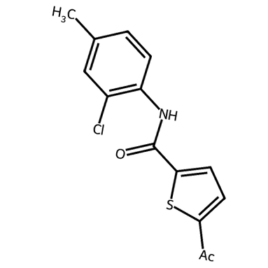 CC(=O)c1ccc(C(=O)Nc2ccc(C)cc2Cl)s1